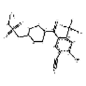 CCS(=O)(=O)CC1CCN(C(=O)c2cc(C#N)c(O)nc2C(F)(F)F)CC1